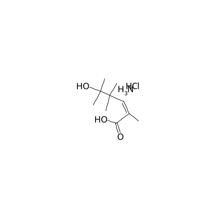 CC(=CC(C)(C)C(C)(C)O)C(=O)O.Cl.N